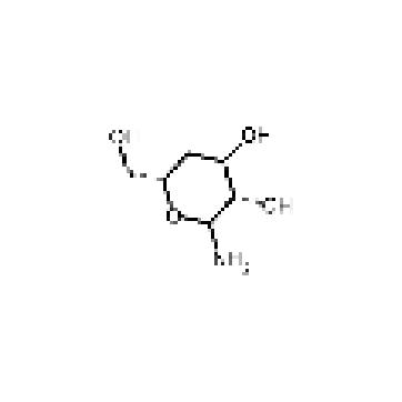 NC1O[C@H](CO)C[C@H](O)[C@@H]1O